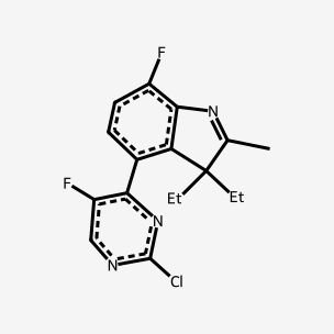 CCC1(CC)C(C)=Nc2c(F)ccc(-c3nc(Cl)ncc3F)c21